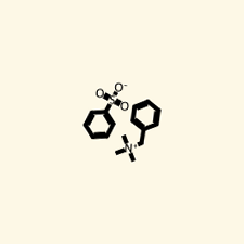 C[N+](C)(C)Cc1ccccc1.O=S(=O)([O-])c1ccccc1